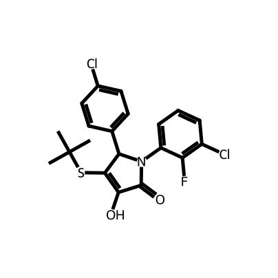 CC(C)(C)SC1=C(O)C(=O)N(c2cccc(Cl)c2F)C1c1ccc(Cl)cc1